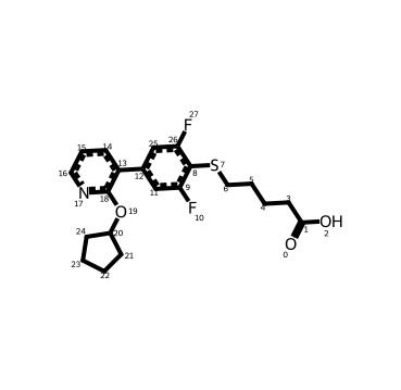 O=C(O)CCCCSc1c(F)cc(-c2cccnc2OC2CCCC2)cc1F